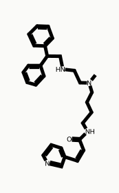 CN(CCCCNC(=O)/C=C\c1cccnc1)CCNCC(c1ccccc1)c1ccccc1